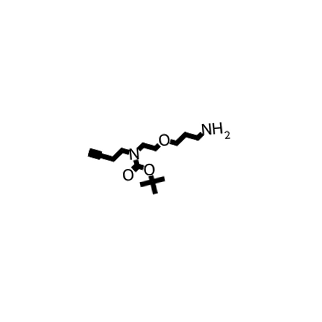 C#CCCN(CCOCCCN)C(=O)OC(C)(C)C